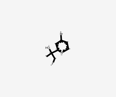 CC(O)(CF)c1cc(Br)ccn1